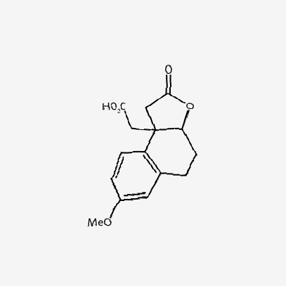 COc1ccc2c(c1)CCC1OC(=O)CC21CC(=O)O